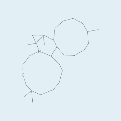 CC1CCCCC2C3CCCCCC(C)(C)CCCCN3C3(C)CC3(C)C2CCCC1